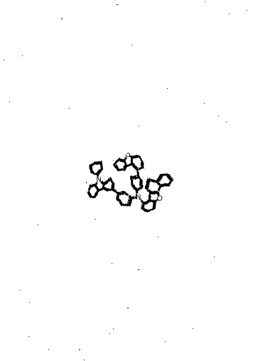 c1ccc(-n2c3ccccc3c3cc(-c4cccc(N(c5ccc(-c6cccc7oc8ccccc8c67)cc5)c5cccc6oc7c8ccccc8ccc7c56)c4)ccc32)cc1